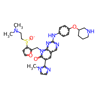 CN(C)CC[S+]([O-])c1ccoc1Cn1c(=O)c(-c2nccn2C)cc2cnc(Nc3ccc(OC4CCCNC4)cc3)nc21